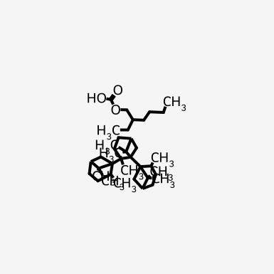 CC1CCC2CC1(C1(C)CCC3CC1(C14CC(CCC1C)C4(C)C)C3(C)C)C2(C)C.CCCCC(CC)COC(=O)O